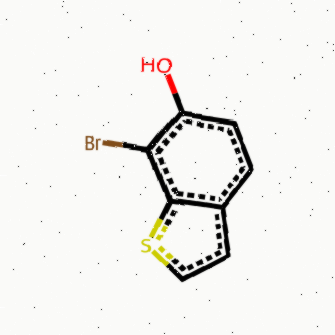 Oc1ccc2ccsc2c1Br